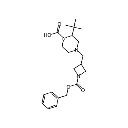 CC(C)(C)C1CN(CC2CN(C(=O)OCc3ccccc3)C2)CCN1C(=O)O